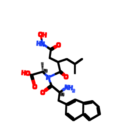 CC(C)CC(CC(=O)NO)C(=O)N(C(=O)[C@@H](N)Cc1ccc2ccccc2c1)[C@@H](C)C(=O)O